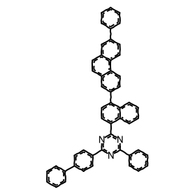 c1ccc(-c2ccc(-c3nc(-c4ccccc4)nc(-c4ccc(-c5ccc6c(ccc7cc(-c8ccccc8)ccc76)c5)c5ccccc45)n3)cc2)cc1